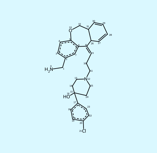 NCc1ccc2c(c1)C(=CCCN1CCC(O)(c3ccc(Cl)cc3)CC1)C1C=CC=CC1CO2